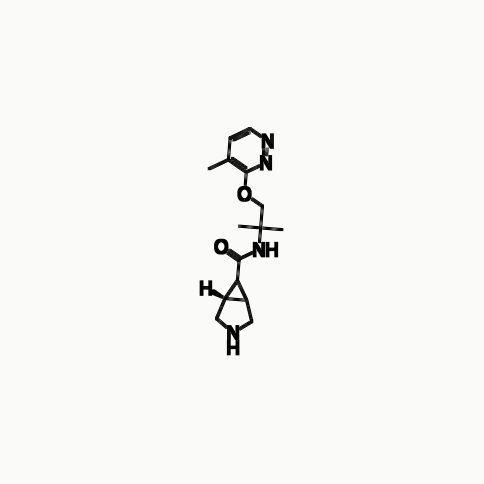 Cc1ccnnc1OCC(C)(C)NC(=O)C1C2CNC[C@@H]21